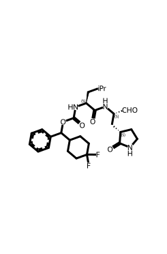 CC(C)C[C@H](NC(=O)OC(c1ccccc1)C1CCC(F)(F)CC1)C(=O)N[C@H](C=O)C[C@@H]1CCNC1=O